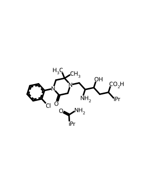 CC(C)C(CC(O)C(N)CN1CC(=O)N(c2ccccc2Cl)CC1(C)C)C(=O)O.CC(C)C(N)=O